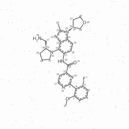 COc1cccc(F)c1-c1nccc(C(=O)Nc2ccc3c(nc(C)n3[C@H]3CCOC3)c2N2CCC[C@H]2CN)n1